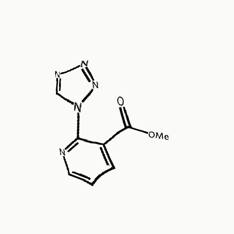 COC(=O)c1cccnc1-n1cnnn1